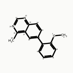 COc1ccccc1-c1ccc2ncnc(C)c2c1